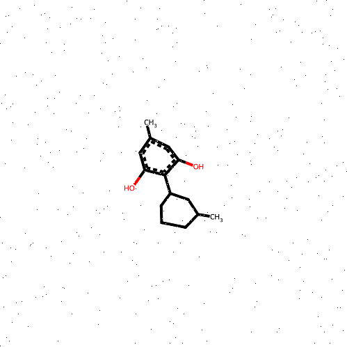 Cc1cc(O)c(C2CCCC(C)C2)c(O)c1